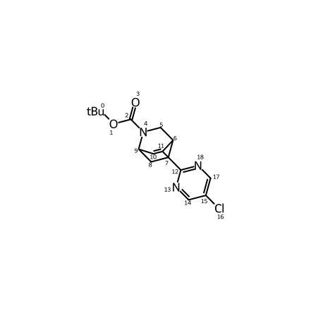 CC(C)(C)OC(=O)N1CC2CCC1C=C2c1ncc(Cl)cn1